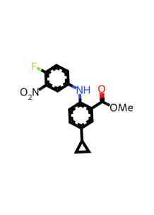 COC(=O)c1cc(C2CC2)ccc1Nc1ccc(F)c([N+](=O)[O-])c1